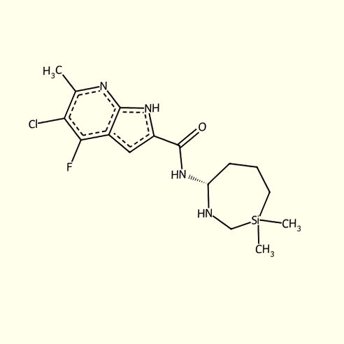 Cc1nc2[nH]c(C(=O)N[C@@H]3CCC[Si](C)(C)CN3)cc2c(F)c1Cl